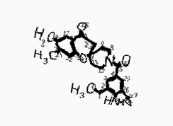 CCc1cc(C(=O)N2CCC3(CC2)CC(=O)c2cc(C)c(C)cc2O3)cc2cn[nH]c12